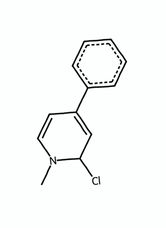 CN1C=CC(c2ccccc2)=CC1Cl